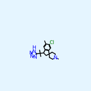 Cc1cc2c(cc1Cl)C1(CCN(C)CC1)CC2C(C)(C)c1nnn[nH]1